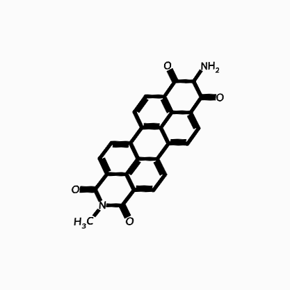 CN1C(=O)c2ccc3c4ccc5c6c(ccc(c7ccc(c2c37)C1=O)c64)C(=O)C(N)C5=O